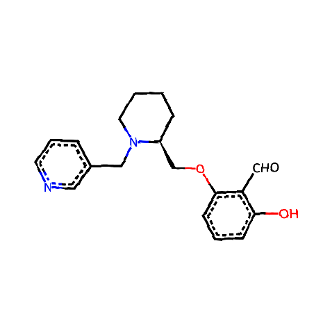 O=Cc1c(O)cccc1OC[C@@H]1CCCCN1Cc1cccnc1